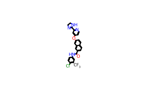 O=C(Nc1ccc(Cl)c(C(F)(F)F)c1)c1ccc2ccc(Oc3ccnc(C4=NCCN4)c3)cc2c1